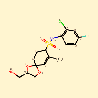 O=C(O)C1=CC2(CCC1S(=O)(=O)Nc1ccc(F)cc1Cl)OC[C@@H](CO)O2